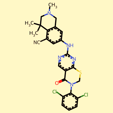 CN1Cc2cc(Nc3ncc4c(n3)SCN(c3c(Cl)cccc3Cl)C4=O)cc(C#N)c2C(C)(C)C1